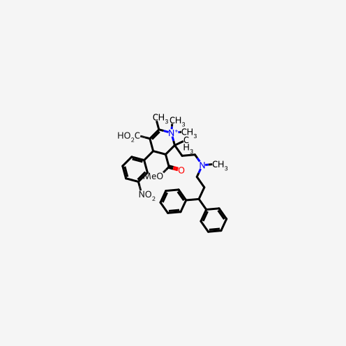 COC(=O)C1C(c2cccc([N+](=O)[O-])c2)C(C(=O)O)=C(C)[N+](C)(C)C1(C)CCN(C)CCC(c1ccccc1)c1ccccc1